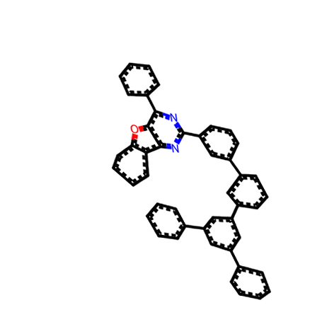 c1ccc(-c2cc(-c3ccccc3)cc(-c3cccc(-c4cccc(-c5nc(-c6ccccc6)c6oc7ccccc7c6n5)c4)c3)c2)cc1